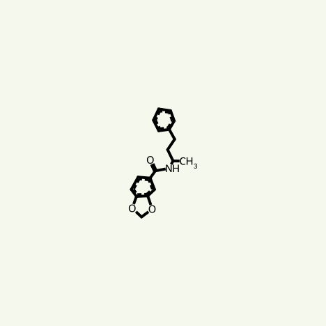 CC(CCc1ccccc1)NC(=O)c1ccc2c(c1)OCO2